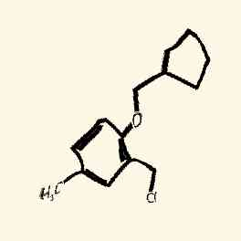 Cc1ccc(OCC2CCCC2)c(CCl)c1